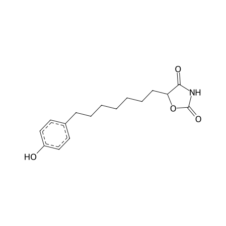 O=C1NC(=O)C(CCCCCCCc2ccc(O)cc2)O1